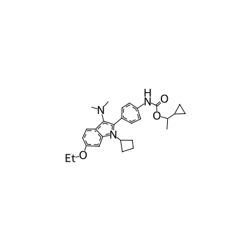 CCOc1ccc2c(N(C)C)c(-c3ccc(NC(=O)OC(C)C4CC4)cc3)n(C3CCC3)c2c1